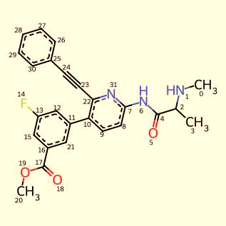 CNC(C)C(=O)Nc1ccc(-c2cc(F)cc(C(=O)OC)c2)c(C#Cc2ccccc2)n1